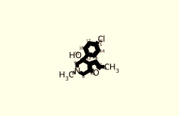 Cc1cc2c(o1)CN(C)CC2(O)c1ccc(Cl)cc1